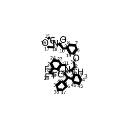 C[C@H](CCOc1cccc(CC(=O)N2CCOCC2)c1)N(Cc1cccc(C(F)(F)F)c1Cl)CC(c1ccccc1)c1ccccc1